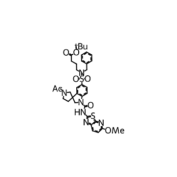 COc1ccc2nc(NC(=O)N3CC4(CCN(C(C)=O)C4)c4cc(S(=O)(=O)N(CCCC(=O)OC(C)(C)C)Cc5ccccc5)ccc43)sc2n1